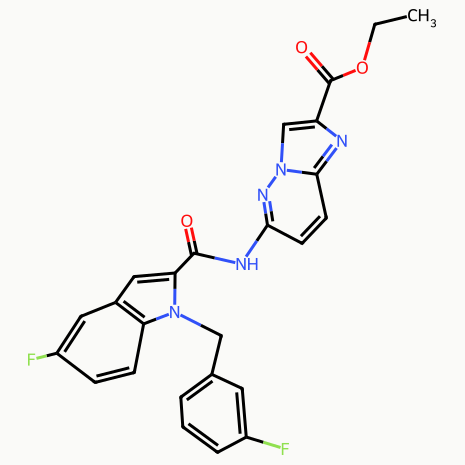 CCOC(=O)c1cn2nc(NC(=O)c3cc4cc(F)ccc4n3Cc3cccc(F)c3)ccc2n1